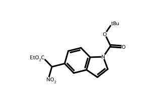 CCOC(=O)C(c1ccc2c(ccn2C(=O)OC(C)(C)C)c1)[N+](=O)[O-]